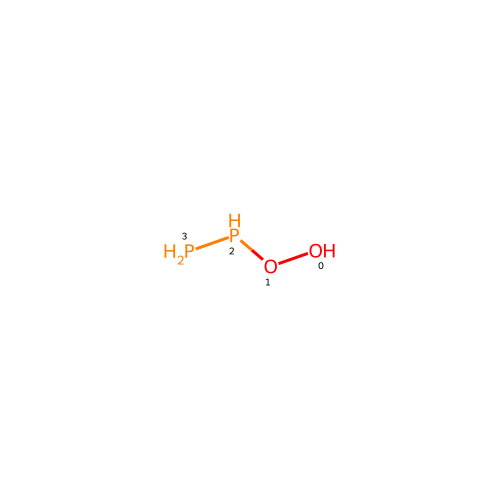 OOPP